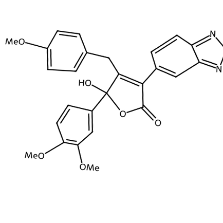 COc1ccc(CC2=C(c3ccc4nsnc4c3)C(=O)OC2(O)c2ccc(OC)c(OC)c2)cc1